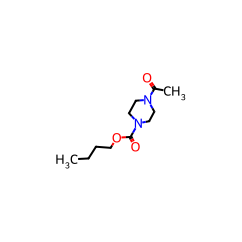 CCCCOC(=O)N1CCN(C(C)=O)CC1